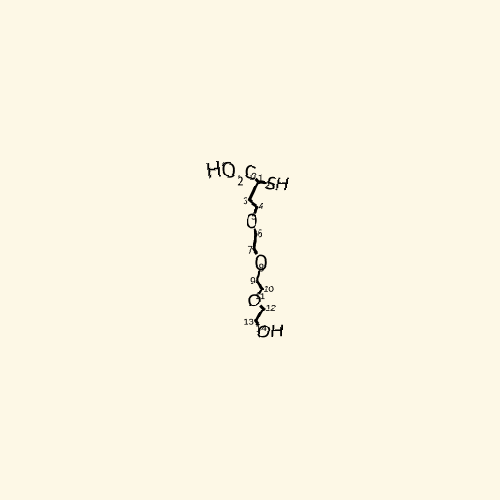 O=C(O)C(S)CCOCCOCCOCCO